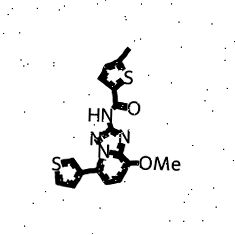 COc1ccc(-c2ccsc2)n2nc(NC(=O)c3ccc(C)s3)nc12